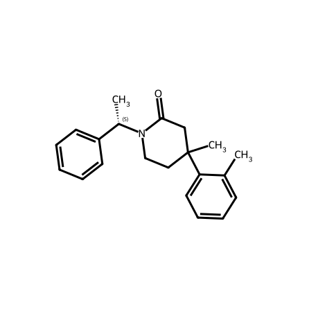 Cc1ccccc1C1(C)CCN([C@@H](C)c2ccccc2)C(=O)C1